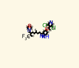 C=C(\C(=C/C=C(C)/C=C/c1n[nH]c2ccc(OC(C)c3c(Cl)cncc3Cl)cc12)CN1CCOCC1)C(F)(F)F